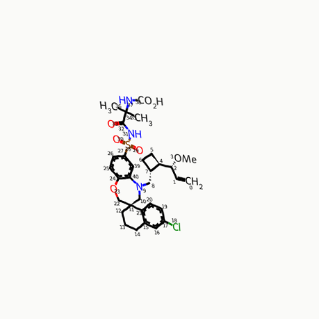 C=C[C@@H](OC)[C@@H]1CC[C@H]1CN1C[C@@]2(CCCc3cc(Cl)ccc32)COc2ccc(S(=O)(=O)NC(=O)C(C)(C)NC(=O)O)cc21